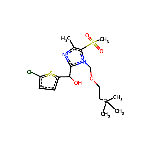 Cc1nc(C(O)c2ccc(Cl)s2)n(COCC[Si](C)(C)C)c1S(C)(=O)=O